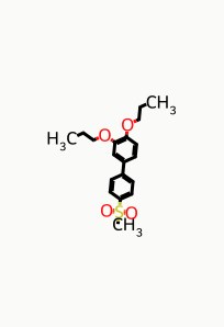 CCCOc1ccc(-c2ccc(S(C)(=O)=O)cc2)cc1OCCC